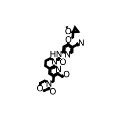 COC1(COc2cc(NC(=O)N3CCCc4cc(CN5CCOCC5=O)c(C=O)nc43)ncc2C#N)CC1